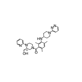 Cc1cc(C)c(C(=O)N2CCN(c3ccccn3)[C@H](CO)C2)c(C)c1NC1CCN(c2cccnn2)CC1